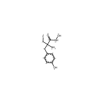 NC(CF)(Cc1ccc(O)cc1)C(=O)NO